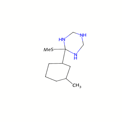 [CH2]SC1(C2CCCC(C)C2)NCNCN1